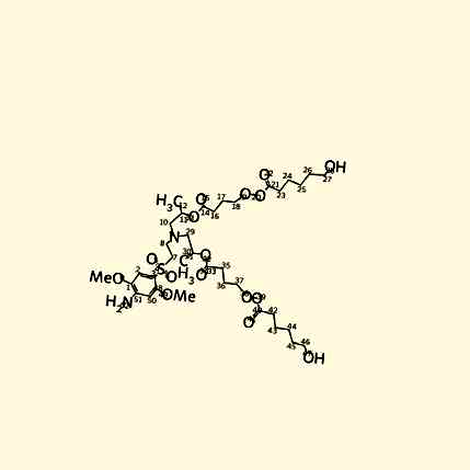 COc1cc(S(=O)(=O)CCN(CC(C)OC(=O)CCCOOC(=O)CCCCCO)CC(C)OC(=O)CCCOOC(=O)CCCCCO)c(OC)cc1N